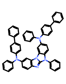 c1ccc(-c2ccc(N(c3ccccc3)c3ccc4nc5n(-c6ccccc6)c6ccc(N(c7ccccc7)c7ccc(-c8ccccc8)cc7)cc6n5c4c3)cc2)cc1